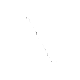 CC(=O)NCCCCCCCCCCCCCCCCCCCCNC(C)=O